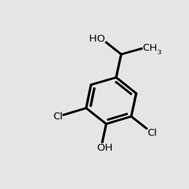 CC(O)c1cc(Cl)c(O)c(Cl)c1